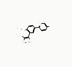 CC(C)Oc1ccc(-c2ccc(C(F)(F)F)cn2)cc1-c1nn[nH]c1C#N